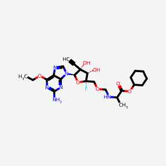 C#C[C@]1(O)[C@H](n2cnc3c(OCC)nc(N)nc32)O[C@](F)(COCNC(C)C(=O)OC2CCCCC2)[C@H]1O